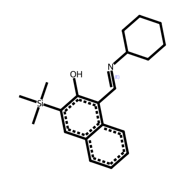 C[Si](C)(C)c1cc2ccccc2c(/C=N/C2CCCCC2)c1O